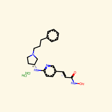 Cl.Cl.O=C(/C=C/c1ccc(N[C@@H]2CCN(CCCc3ccccc3)C2)nc1)NO